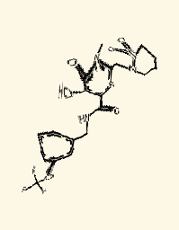 Cn1c(N2CCCCS2(=O)=O)nc(C(=O)NCc2cccc(OC(F)(F)F)c2)c(O)c1=O